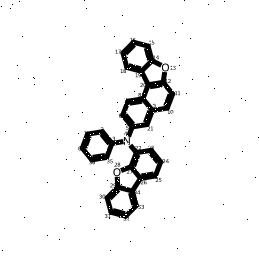 c1ccc(N(c2ccc3c(ccc4oc5ccccc5c43)c2)c2cccc3c2oc2ccccc23)cc1